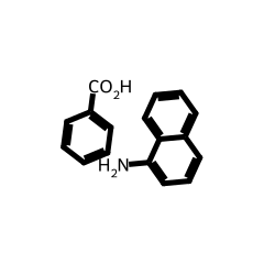 Nc1cccc2ccccc12.O=C(O)c1ccccc1